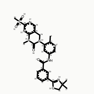 Cc1ncc(NC(=O)c2cccc(C3=NC(C)(C)CO3)c2)cc1N1Cc2cnc(S(C)(=O)=O)nc2N(C)C1=O